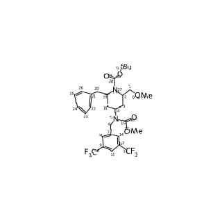 COCC1CC(N(Cc2cc(C(F)(F)F)cc(C(F)(F)F)c2)C(=O)OC)CC(Cc2ccccc2)N1C(=O)OC(C)(C)C